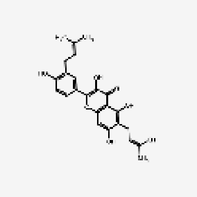 CC(C)=CCc1cc(-c2oc3cc(O)c(CC=C(C)C)c(O)c3c(=O)c2O)ccc1O